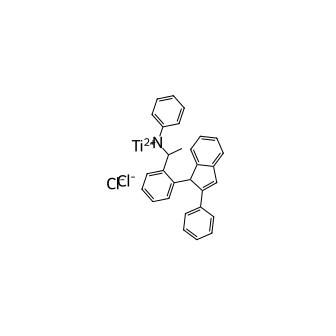 CC(c1ccccc1C1C(c2ccccc2)=Cc2ccccc21)[N]([Ti+2])c1ccccc1.[Cl-].[Cl-]